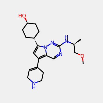 COC[C@H](C)Nc1ncc2c(C3=CCNCC3)cc([C@H]3CC[C@H](O)CC3)n2n1